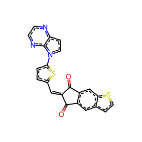 O=C1/C(=C/c2ccc(-n3ccc4nccnc43)s2)C(=O)c2cc3sccc3cc21